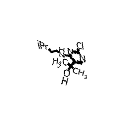 CC(C)CCNc1nc(Cl)ncc1C(C)(C)O